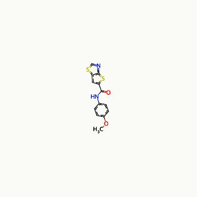 COc1ccc(NC(=O)c2cc3scnc3s2)cc1